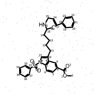 COC(=O)c1ccc2c(c1)c(CCCCC1CC(c3ccccc3)=CCN1)cn2S(=O)(=O)c1ccccc1